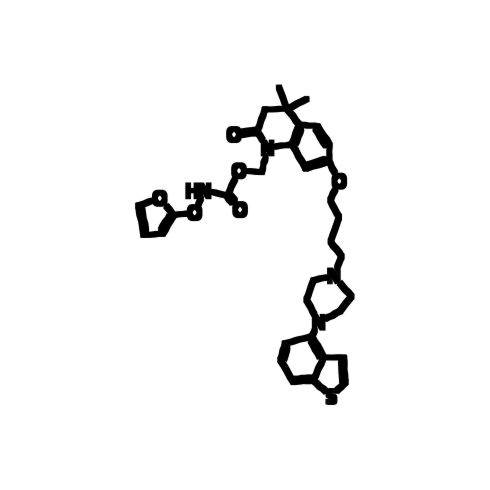 CC1(C)CC(=O)N(COC(=O)NOc2ccco2)c2cc(OCCCCN3CCN(c4cccc5sccc45)CC3)ccc21